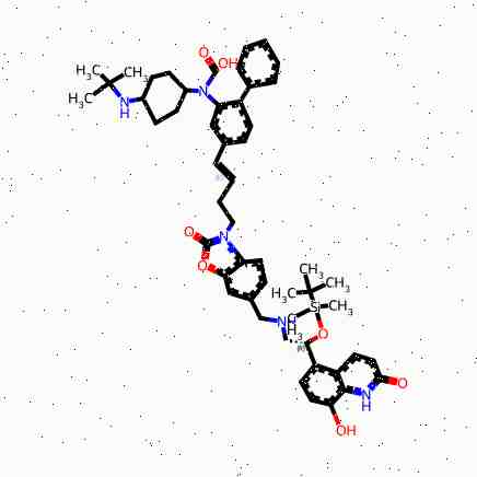 CC(C)(C)NC1CCC(N(C(=O)O)c2cc(/C=C/CCn3c(=O)oc4cc(CNC[C@H](O[Si](C)(C)C(C)(C)C)c5ccc(O)c6[nH]c(=O)ccc56)ccc43)ccc2-c2ccccc2)CC1